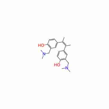 CC(=C(C)c1ccc(O)c(CN(C)C)c1)c1ccc(O)c(CN(C)C)c1